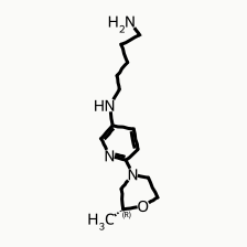 C[C@@H]1CN(c2ccc(NCCCCCN)cn2)CCO1